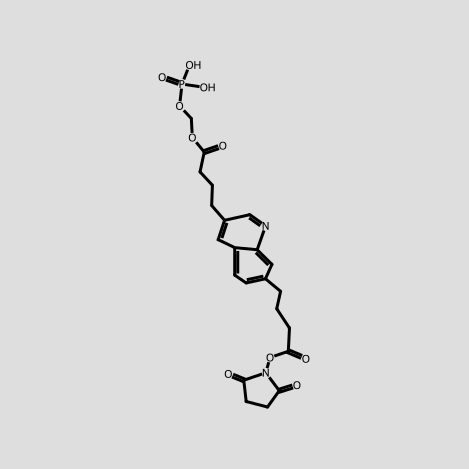 O=C(CCCc1cnc2cc(CCCC(=O)ON3C(=O)CCC3=O)ccc2c1)OCOP(=O)(O)O